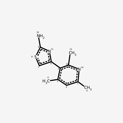 Cc1cc(C)c(-c2csc(N)n2)c(C)n1